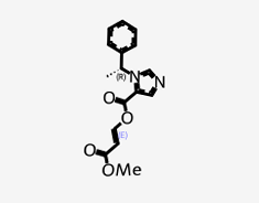 COC(=O)/C=C/OC(=O)c1cncn1[C@H](C)c1ccccc1